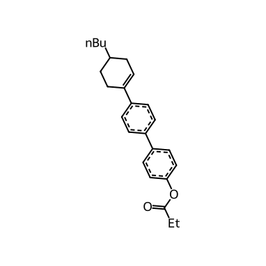 CCCCC1CC=C(c2ccc(-c3ccc(OC(=O)CC)cc3)cc2)CC1